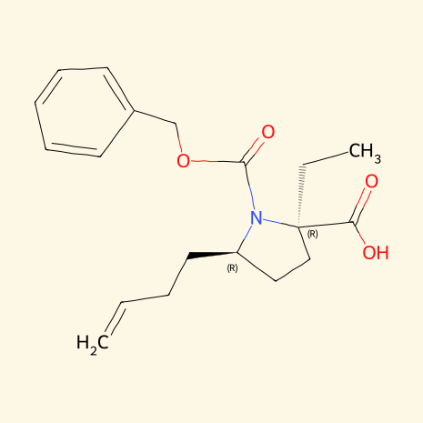 C=CCC[C@@H]1CC[C@](CC)(C(=O)O)N1C(=O)OCc1ccccc1